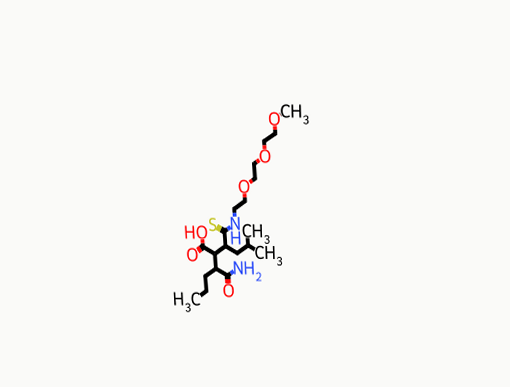 CCCC(C(N)=O)C(C(=O)O)C(CC(C)C)C(=S)NCCOCCOCCOC